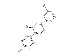 O[C@H]1CN(c2ncnc(Cl)n2)CC=C1c1ccc(F)cc1